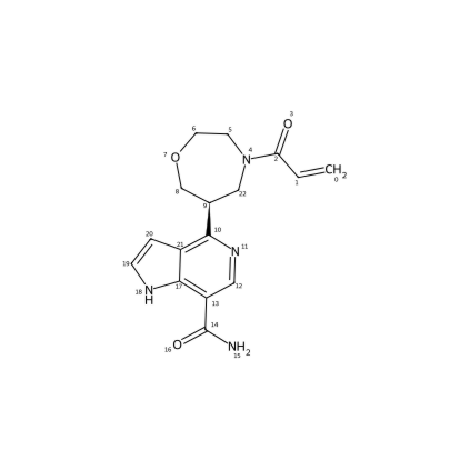 C=CC(=O)N1CCOC[C@H](c2ncc(C(N)=O)c3[nH]ccc23)C1